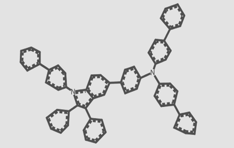 c1ccc(-c2ccc(N(c3ccc(-c4ccccc4)cc3)c3ccc(-c4ccc5c(c4)c(-c4ccccc4)c(-c4ccccc4)n5-c4ccc(-c5ccccc5)cc4)cc3)cc2)cc1